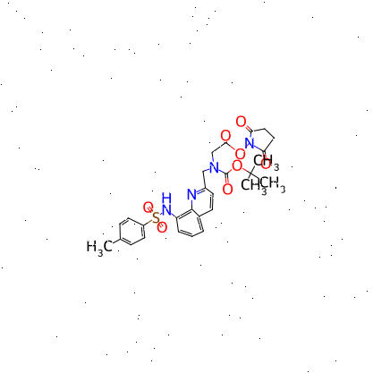 Cc1ccc(S(=O)(=O)Nc2cccc3ccc(CN(CC(=O)ON4C(=O)CCC4=O)C(=O)OC(C)(C)C)nc23)cc1